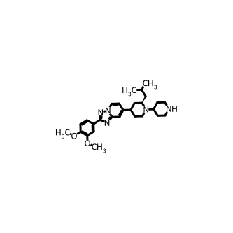 COc1ccc(-c2nc3cc(C4CCN(C5CCNCC5)[C@H](CC(C)C)C4)ccn3n2)cc1OC